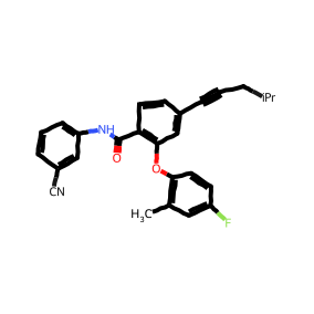 Cc1cc(F)ccc1Oc1cc(C#CCC(C)C)ccc1C(=O)Nc1cccc(C#N)c1